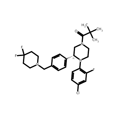 CC(C)(C)C(=O)N1CCN(c2ccc(Cl)cc2F)[C@H](c2ccc(CN3CCC(F)(F)CC3)cc2)C1